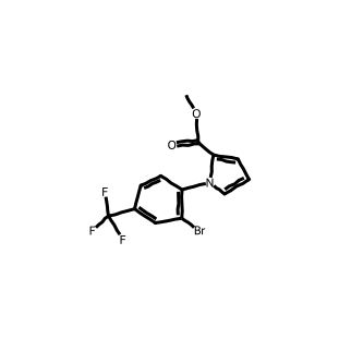 COC(=O)c1cccn1-c1ccc(C(F)(F)F)cc1Br